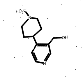 O=C(O)N1CCC(c2ccncc2CO)CC1